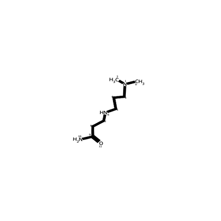 CN(C)CCCNCCC(N)=O